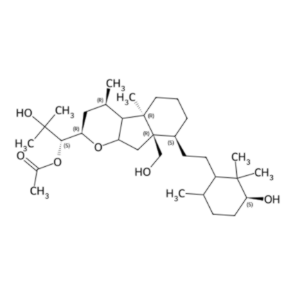 CC(=O)O[C@@H]([C@H]1C[C@@H](C)C2C(C[C@@]3(CO)[C@H](CCC4C(C)CC[C@H](O)C4(C)C)CCC[C@]23C)O1)C(C)(C)O